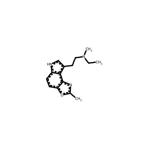 CCN(C)CCc1c[nH]c2ccc3oc(C)nc3c12